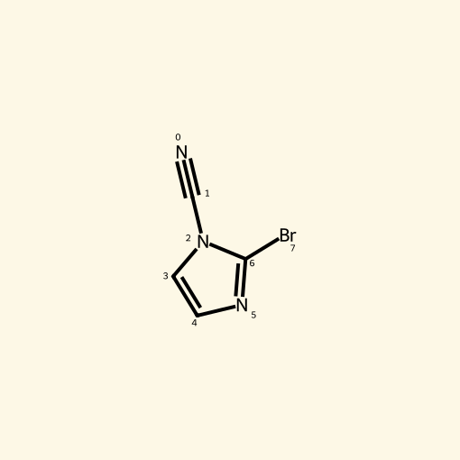 N#Cn1ccnc1Br